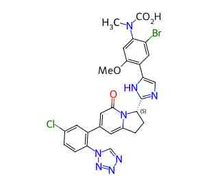 COc1cc(N(C)C(=O)O)c(Br)cc1-c1cnc([C@@H]2CCc3cc(-c4cc(Cl)ccc4-n4cnnn4)cc(=O)n32)[nH]1